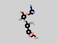 Cc1cc(-c2ccc3c(c2)OC(CO)CO3)ccc1COc1cc(OCc2cncc(C#N)c2)c(C=O)cc1Cl